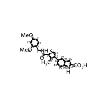 COc1ccc(CNC(=O)c2scc(-c3ccc4[nH]c(C(=O)O)cc4c3)c2C)c(OC)c1